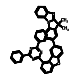 CC1(C)c2cc(-c3ccc4oc5cccc(-c6nc(-c7ccccc7)nc(-c7ccccc7)n6)c5c4c3)ccc2-n2c1nc1ccccc12